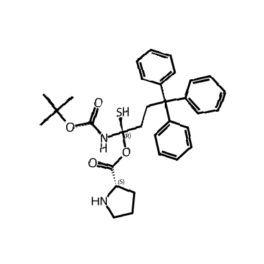 CC(C)(C)OC(=O)N[C@](S)(CCC(c1ccccc1)(c1ccccc1)c1ccccc1)OC(=O)[C@@H]1CCCN1